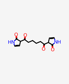 O=C(CCCCC(=O)C1C=CNC1=O)C1C=CNC1=O